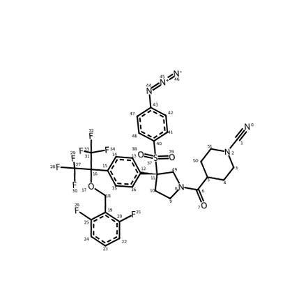 N#CN1CCC(C(=O)N2CC[C@](c3ccc(C(OCc4c(F)cccc4F)(C(F)(F)F)C(F)(F)F)cc3)(S(=O)(=O)c3ccc(N=[N+]=[N-])cc3)C2)CC1